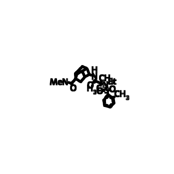 CCN(C(C)(C)C(=O)NC1C2CC3CC1CC(C(=O)NC)(C3)C2)S(=O)(=O)c1ccccc1C